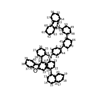 c1cc(-c2ccc(N(c3ccc(-c4cccc5ccccc45)cc3)c3ccccc3-c3cccc4oc5ccccc5c34)cc2)cc(-c2cccc(-n3c4ccccc4c4ccccc43)c2)c1